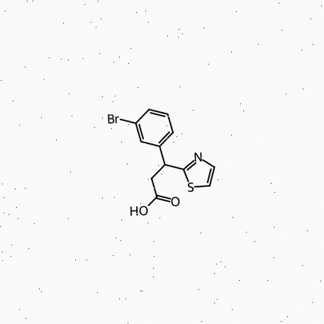 O=C(O)CC(c1cccc(Br)c1)c1nccs1